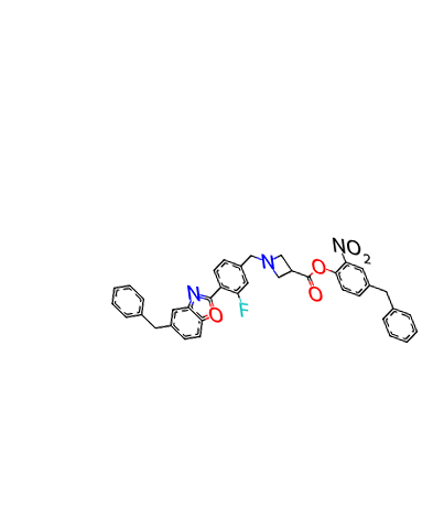 O=C(Oc1ccc(Cc2ccccc2)cc1[N+](=O)[O-])C1CN(Cc2ccc(-c3nc4cc(Cc5ccccc5)ccc4o3)c(F)c2)C1